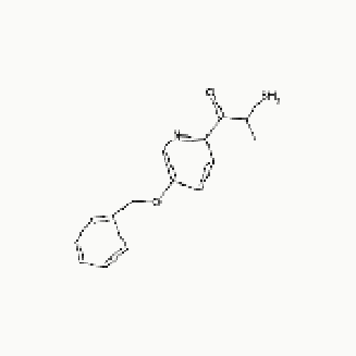 BC(C)C(=O)c1ccc(OCc2ccccc2)cn1